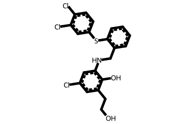 OCCc1cc(Cl)cc(NCc2ccccc2Sc2ccc(Cl)c(Cl)c2)c1O